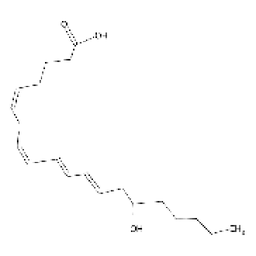 CCCCCC(O)C/C=C/C=C/C=C\C/C=C\CCCC(=O)O